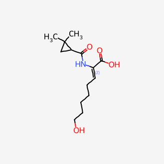 CC1(C)CC1C(=O)N/C(=C\CCCCCO)C(=O)O